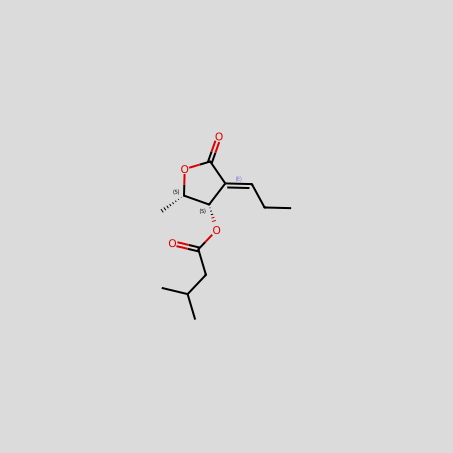 CC/C=C1/C(=O)O[C@@H](C)[C@H]1OC(=O)CC(C)C